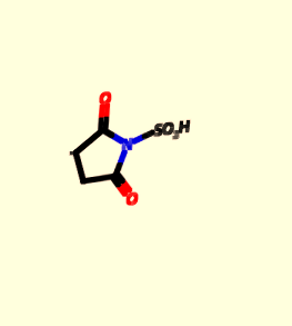 O=C1[CH]CC(=O)N1S(=O)(=O)O